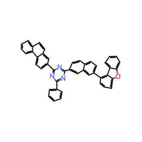 c1ccc(-c2nc(-c3ccc4ccc(-c5cccc6oc7ccccc7c56)cc4c3)nc(-c3ccc4c(ccc5ccccc54)c3)n2)cc1